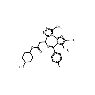 Cc1sc2c(c1C)C(c1ccc(Cl)cc1)=NC(CC(=O)OC1CCC(O)CC1)c1nnc(C)n1-2